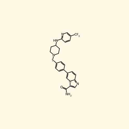 NC(=O)c1cnc2ccc(-c3ccc(SN4CCC(Nc5ccc(C(F)(F)F)cn5)CC4)cc3)cn12